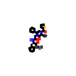 CC(C)C1C(=O)N(CC(=O)N[C@@H](Cc2ccccc2)C(=O)C(=O)O)C(c2ccccc2)=CN1C(=O)c1cccs1